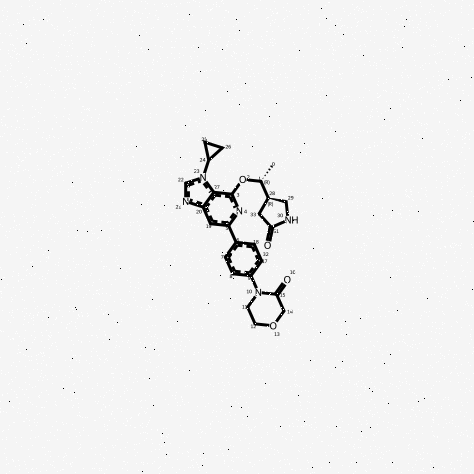 C[C@@H](Oc1nc(-c2ccc(N3CCOCC3=O)cc2)cc2ncn(C3CC3)c12)[C@H]1CNC(=O)C1